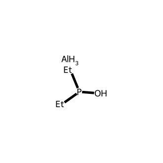 CCP(O)CC.[AlH3]